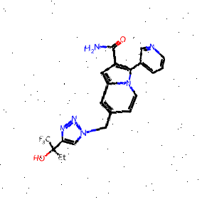 CCC(O)(c1cn(Cc2ccn3c(-c4cccnc4)c(C(N)=O)cc3c2)nn1)C(F)(F)F